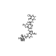 CC(=O)c1nn(CC(=O)N2C[C@H](F)C[C@H]2C(=O)NCc2cccc(Cl)c2F)c2cc(OCS(=O)(=O)NC(C)(C)C)ccc12